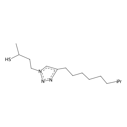 CC(C)CCCCCCc1cn(CCC(C)S)nn1